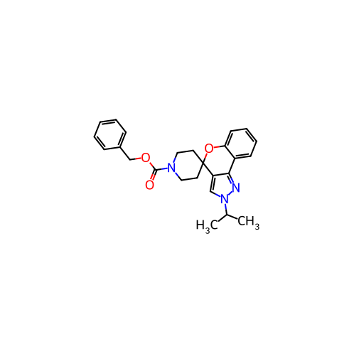 CC(C)n1cc2c(n1)-c1ccccc1OC21CCN(C(=O)OCc2ccccc2)CC1